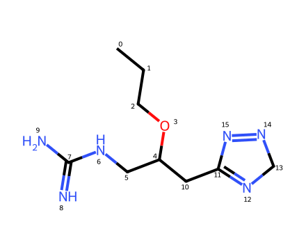 CCCOC(CNC(=N)N)CC1=NCN=N1